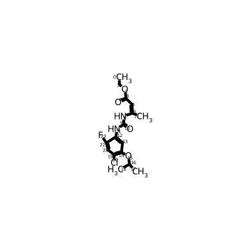 CCOC(=O)/C=C(/C)NC(=O)Nc1cc(OC(C)C)c(Cl)cc1F